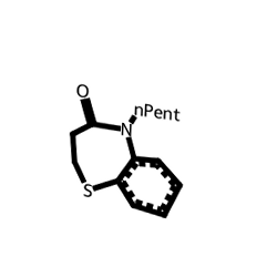 CCCCCN1C(=O)CCSc2ccccc21